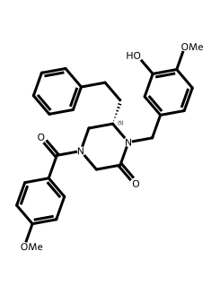 COc1ccc(C(=O)N2CC(=O)N(Cc3ccc(OC)c(O)c3)[C@@H](CCc3ccccc3)C2)cc1